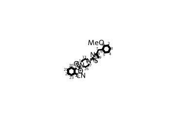 COc1ccccc1Cc1csc(N2CCN(S(=O)(=O)c3ccccc3C#N)CC2)n1